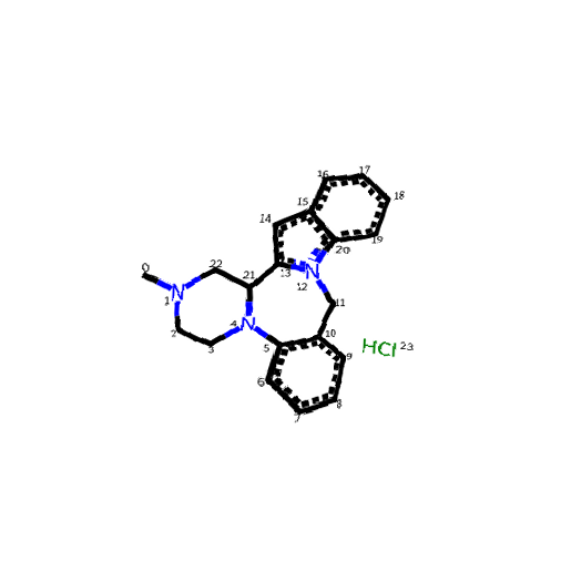 CN1CCN2c3ccccc3Cn3c(cc4ccccc43)C2C1.Cl